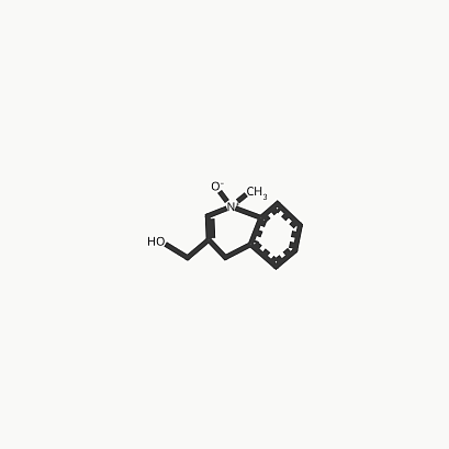 C[N+]1([O-])C=C(CO)Cc2ccccc21